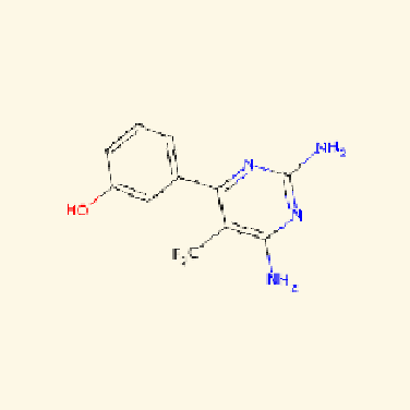 Nc1nc(N)c(C(F)(F)F)c(-c2cccc(O)c2)n1